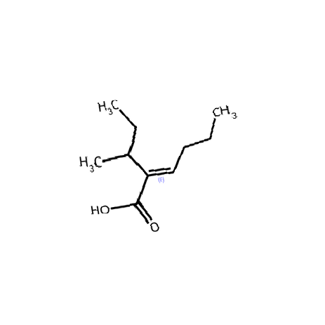 CCC/C=C(/C(=O)O)C(C)CC